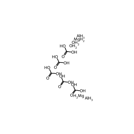 O.O.O=C(O)O.O=C(O)O.O=C(O)O.O=C(O)O.O=C(O)O.[AlH3].[AlH3].[MgH2].[MgH2]